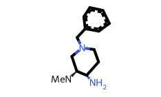 CN[C@H]1CN(Cc2ccccc2)CC[C@H]1N